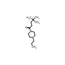 CCCN1CCN(C(=O)CCC(C)(C)C)CC1